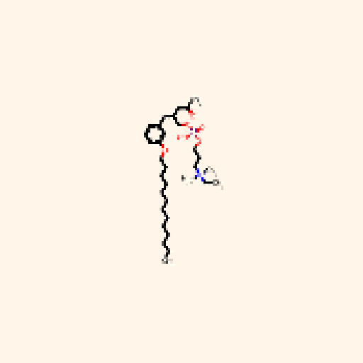 CCCCCCCCCCCCCOc1cccc(CC(COP(=O)(O)OCCC[N+](C)(C)CC)CC(C)=O)c1